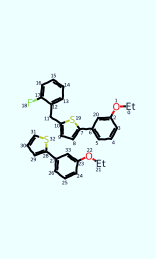 CCOc1cccc(-c2ccc(Cc3ccccc3F)s2)c1.CCOc1cccc(-c2cccs2)c1